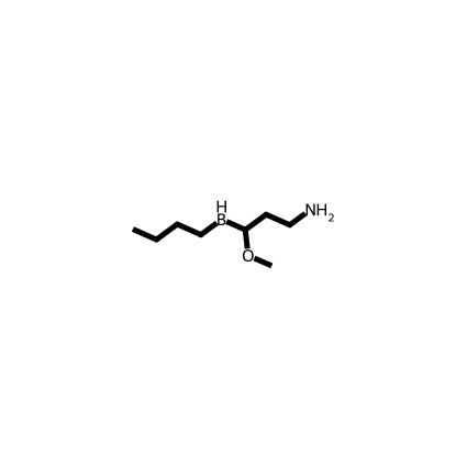 CCCCBC(CCN)OC